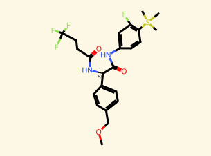 COCc1ccc([C@@H](NC(=O)CCC(F)(F)F)C(=O)Nc2ccc(S(C)(C)C)c(F)c2)cc1